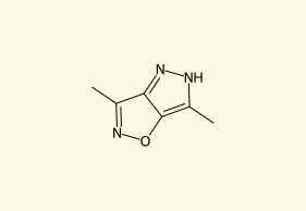 Cc1noc2c(C)[nH]nc12